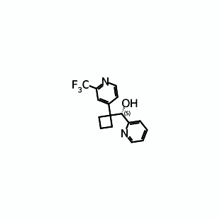 O[C@H](c1ccccn1)C1(c2ccnc(C(F)(F)F)c2)CCC1